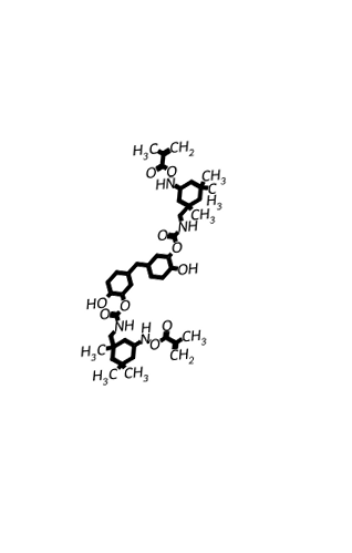 C=C(C)C(=O)ONC1CC(C)(C)CC(C)(CNC(=O)OC2CC(CC3CCC(O)C(OC(=O)NCC4(C)CC(NOC(=O)C(=C)C)CC(C)(C)C4)C3)CCC2O)C1